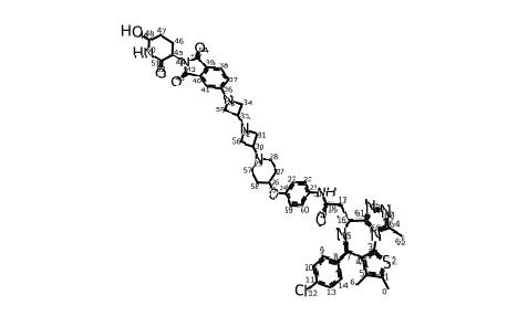 Cc1sc2c(c1C)C(c1ccc(Cl)cc1)=N[C@@H](CC(=O)Nc1ccc(OC3CCN(C4CN(C5CN(c6ccc7c(c6)C(=O)N(C6CCC(O)NC6=O)C7=O)C5)C4)CC3)cc1)c1nnc(C)n1-2